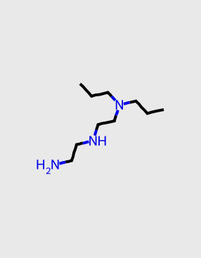 CCCN(CCC)CCNCCN